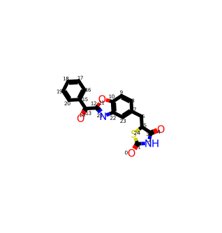 O=C1NC(=O)C(Cc2ccc3oc(C(=O)c4ccccc4)nc3c2)S1